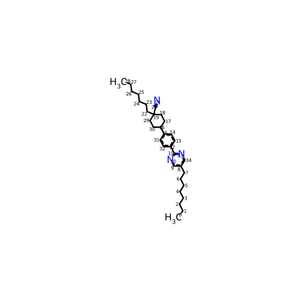 CCCCCCCCc1cnc(-c2ccc(C3CCC(C#N)(CCCCCCC)CC3)cc2)nc1